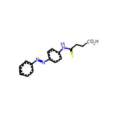 O=C(O)CCC(=S)Nc1ccc(N=Nc2ccccc2)cc1